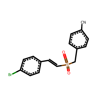 N#Cc1ccc(CS(=O)(=O)C=Cc2ccc(Br)cc2)cc1